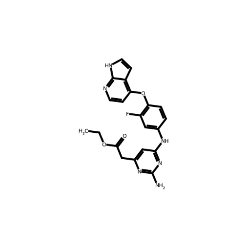 CCOC(=O)Cc1cc(Nc2ccc(Oc3ccnc4[nH]ccc34)c(F)c2)nc(N)n1